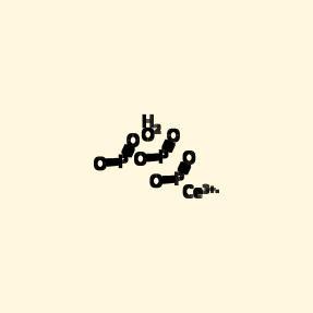 O.O=P[O-].O=P[O-].O=P[O-].[Ce+3]